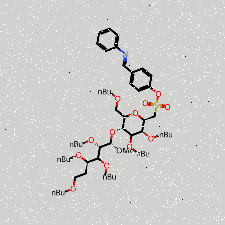 CCCCOCC[C@@H](OCCCC)C(OCCCC)[C@H](OCCCC)[C@@H](OC)O[C@@H]1C(COCCCC)O[C@@H](CS(=O)(=O)Oc2ccc(/C=N/c3ccccc3)cc2)[C@@H](OCCCC)C1OCCCC